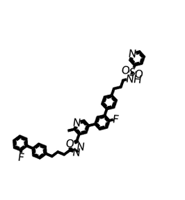 Cc1ncc(-c2ccc(F)c(-c3ccc(CCCNS(=O)(=O)c4cccnc4)cc3)c2)cc1-c1nnc(CCCc2ccc(-c3ccccc3F)cc2)o1